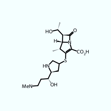 CNCC[C@@H](O)[C@@H]1CC(SC2=C(C(=O)O)N3C(=O)[C@H]([C@@H](C)O)[C@H]3[C@H]2C)CN1